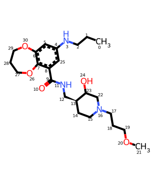 CCCNc1cc2c(c(C(=O)NC[C@@H]3CCN(CCCOC)CC3O)c1)OCCCO2